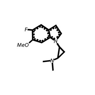 COc1cc2c(ccn2C2CC2N(C)C)cc1F